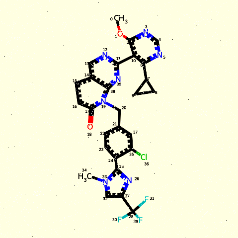 COc1ncnc(C2CC2)c1-c1ncc2ccc(=O)n(Cc3ccc(-c4nc(C(F)(F)F)cn4C)c(Cl)c3)c2n1